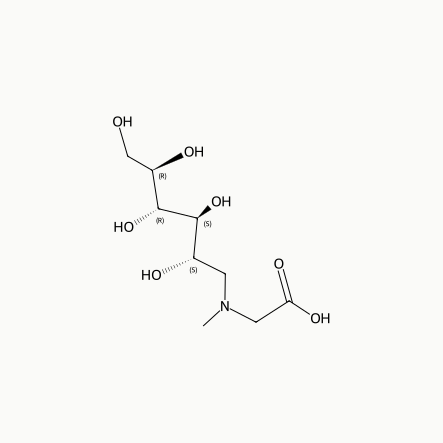 CN(CC(=O)O)C[C@H](O)[C@H](O)[C@H](O)[C@H](O)CO